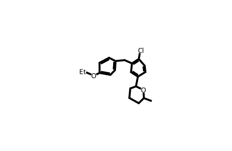 CCOc1ccc(Cc2cc(C3CCCC(C)O3)ccc2Cl)cc1